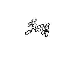 C[Si]1(C)c2ccccc2-c2ccc(N(c3ccccc3)c3ccc4ccc5c(N(c6ccccc6)c6cccc7c6oc6ccccc67)ccc6ccc3c4c65)cc21